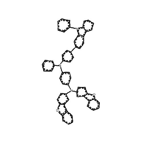 c1ccc(N(c2ccc(-c3ccc4c5ccccc5n(-c5ccccc5)c4c3)cc2)c2ccc(N(c3ccc4oc5ccccc5c4c3)c3ccc4oc5ccccc5c4c3)cc2)cc1